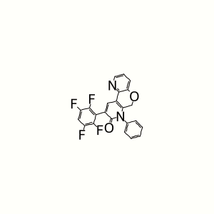 O=c1c(-c2c(F)c(F)cc(F)c2F)cc2c(n1-c1ccccc1)COc1cccnc1-2